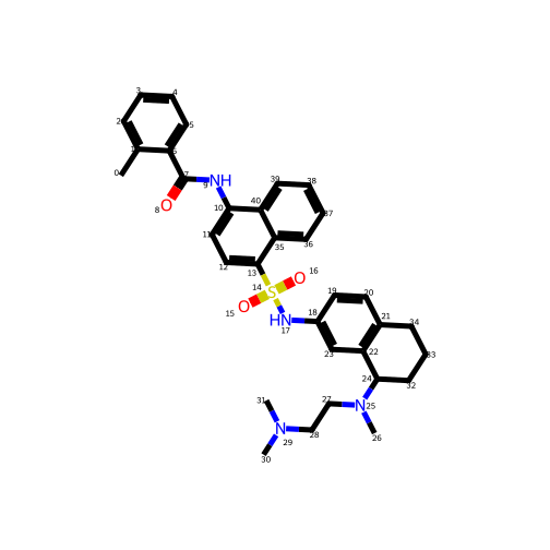 Cc1ccccc1C(=O)Nc1ccc(S(=O)(=O)Nc2ccc3c(c2)C(N(C)CCN(C)C)CCC3)c2ccccc12